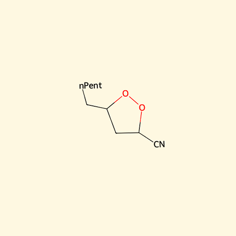 CCCCCCC1CC(C#N)OO1